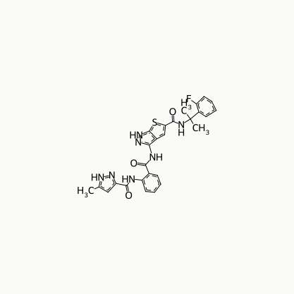 Cc1cc(C(=O)Nc2ccccc2C(=O)Nc2n[nH]c3sc(C(=O)NC(C)(C)c4ccccc4F)cc23)n[nH]1